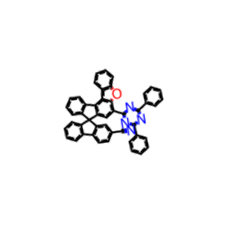 N#Cc1ccc2c(c1)C1(c3ccccc3-2)c2ccccc2-c2c1cc(-c1nc(-c3ccccc3)nc(-c3ccccc3)n1)c1oc3ccccc3c21